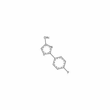 CC(=O)Oc1csc(-c2ccc(F)cc2)n1